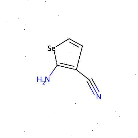 N#Cc1cc[se]c1N